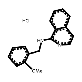 COc1ccccc1CNc1nccc2ccccc12.Cl